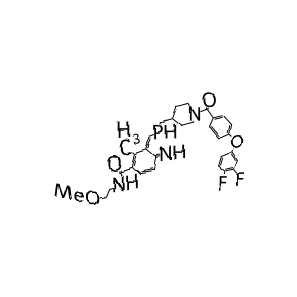 COCCNC(=O)C1=C(C)/C(=C/PCC2CCN(C(=O)c3ccc(Oc4ccc(F)c(F)c4)cc3)CC2)C(=N)C=C1